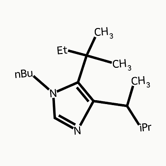 CCCCn1cnc(C(C)C(C)C)c1C(C)(C)CC